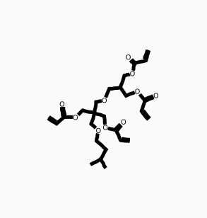 C=CC(=O)OCC(COCC(COCCC(C)C)(COC(=O)C=C)COC(=O)C=C)COC(=O)C=C